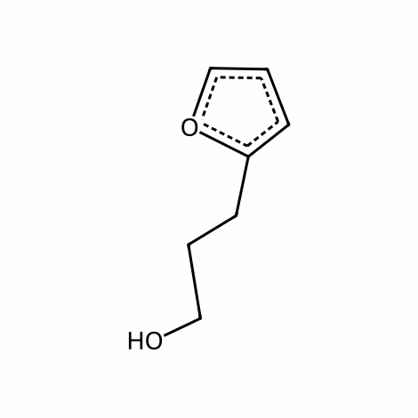 OCCCc1ccco1